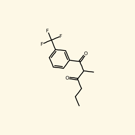 CCCC(=O)C(C)C(=O)c1cccc(C(F)(F)F)c1